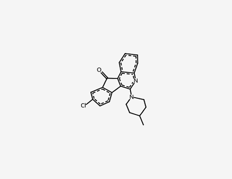 CC1CCN(c2nc3ccccc3c3c2-c2ccc(Cl)cc2C3=O)CC1